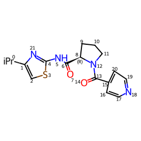 CC(C)c1csc(NC(=O)[C@H]2CCCN2C(=O)c2ccncc2)n1